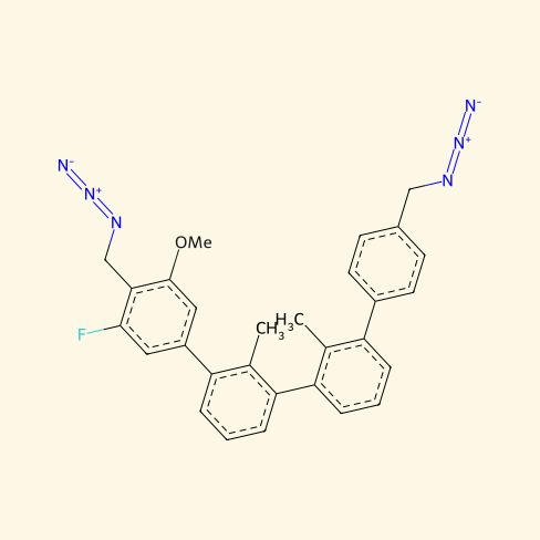 COc1cc(-c2cccc(-c3cccc(-c4ccc(CN=[N+]=[N-])cc4)c3C)c2C)cc(F)c1CN=[N+]=[N-]